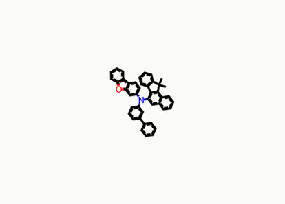 CC1(C)c2ccccc2-c2c(N(c3cccc(-c4ccccc4)c3)c3ccc4c(c3)oc3ccccc34)cc3ccccc3c21